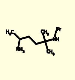 CC(N)CCC(C)(C)NC(C)C